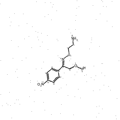 CCCOCC(=NOCCN)c1ccc([N+](=O)[O-])cc1